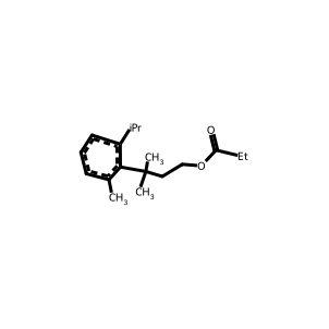 CCC(=O)OCCC(C)(C)c1c(C)cccc1C(C)C